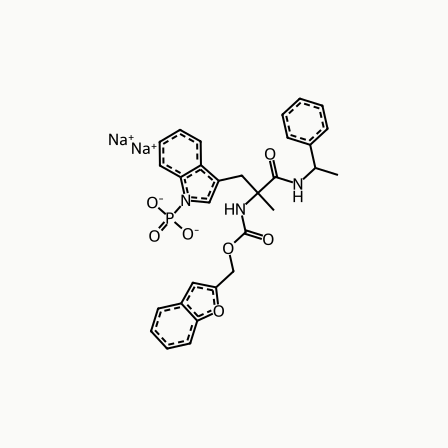 CC(NC(=O)C(C)(Cc1cn(P(=O)([O-])[O-])c2ccccc12)NC(=O)OCc1cc2ccccc2o1)c1ccccc1.[Na+].[Na+]